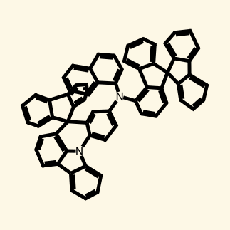 c1ccc2c(c1)-c1ccccc1C21c2ccccc2-c2c(N(c3ccc4c(c3)C3(c5ccccc5-c5ccccc53)c3cccc5c6ccccc6n-4c35)c3cccc4ccccc34)cccc21